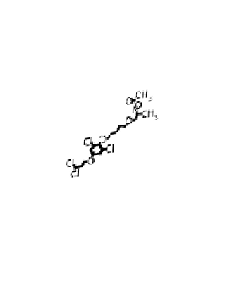 CC(=O)ON=C(C)COCCCCCOc1c(Cl)cc(OCC=C(Cl)Cl)cc1Cl